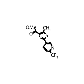 COC(=O)c1nc(-c2ccc(C(F)(F)F)nc2)sc1C